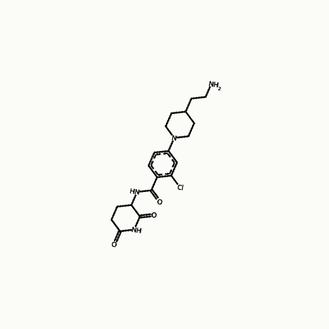 NCCC1CCN(c2ccc(C(=O)NC3CCC(=O)NC3=O)c(Cl)c2)CC1